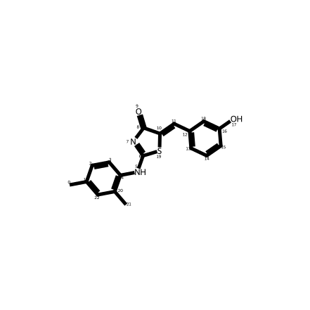 Cc1ccc(NC2=NC(=O)/C(=C/c3cccc(O)c3)S2)c(C)c1